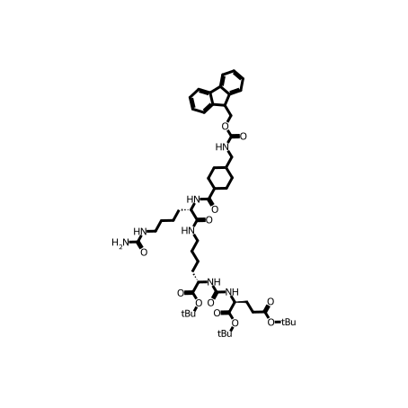 CC(C)(C)OC(=O)CC[C@H](NC(=O)N[C@@H](CCCCNC(=O)[C@H](CCCCNC(N)=O)NC(=O)C1CCC(CNC(=O)OCC2c3ccccc3-c3ccccc32)CC1)C(=O)OC(C)(C)C)C(=O)OC(C)(C)C